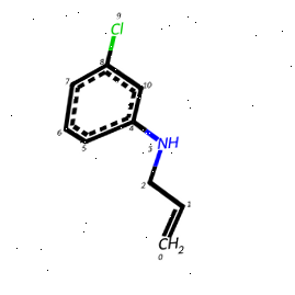 C=CCNc1[c]ccc(Cl)c1